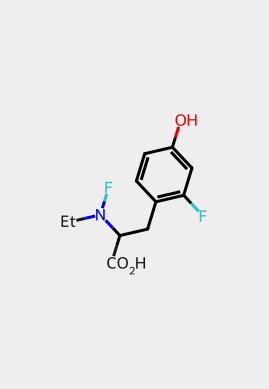 CCN(F)C(Cc1ccc(O)cc1F)C(=O)O